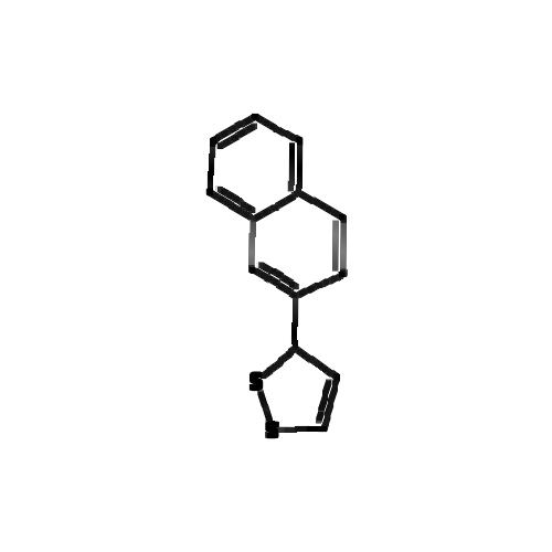 C1=CC(c2ccc3ccccc3c2)SS1